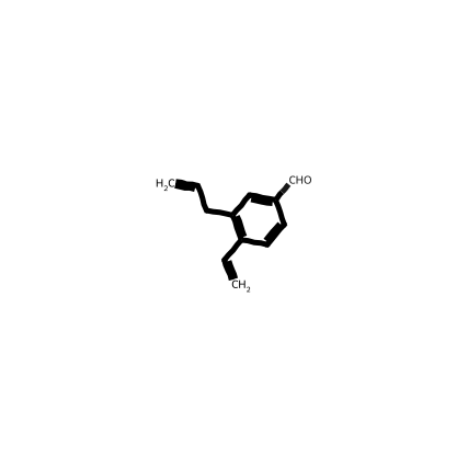 C=CCc1cc(C=O)ccc1C=C